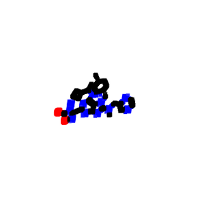 C[C@@H](Nc1nc(-c2noc(=O)[nH]2)nc2nc(N(C)Cc3cnccn3)n(C[C@H]3CC[C@H](C)CC3)c12)C1CCC1